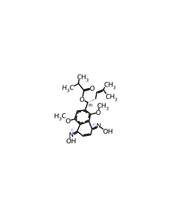 COc1cc([C@@H](CC=C(C)C)OC(=O)C(C)C)c(OC)c2c1/C(=N/O)C=C/C2=N\O